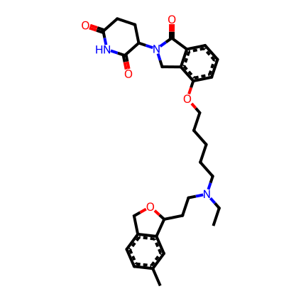 CCN(CCCCCOc1cccc2c1CN(C1CCC(=O)NC1=O)C2=O)CCC1OCc2ccc(C)cc21